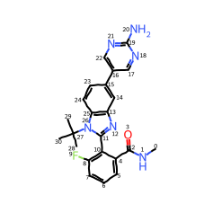 CNC(=O)c1cccc(F)c1-c1nc2cc(-c3cnc(N)nc3)ccc2n1C(C)(C)C